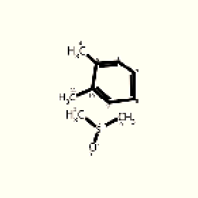 C[S+](C)[O-].Cc1ccccc1C